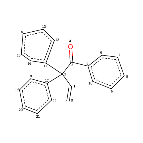 C=CC(C(=O)c1ccccc1)(c1ccccc1)c1ccccc1